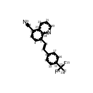 N#Cc1ccc(C=Cc2ccc(C(F)(F)F)cc2)c2ncccc12